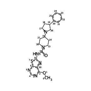 COc1ncnc2sc(NC(=O)N3CCC(N4CCC(c5ccccc5)C4)CC3)nc12